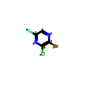 Fc1cnc(Br)c(Cl)n1